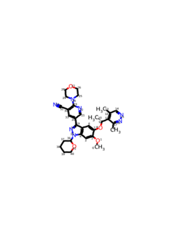 COc1cc2c(cc1O[C@H](C)c1c(C)cnnc1C)c(-c1cnc(N3CCOCC3)c(C#N)c1)nn2C1CCCCO1